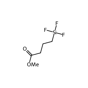 COC(=O)CCC[Si](F)(F)F